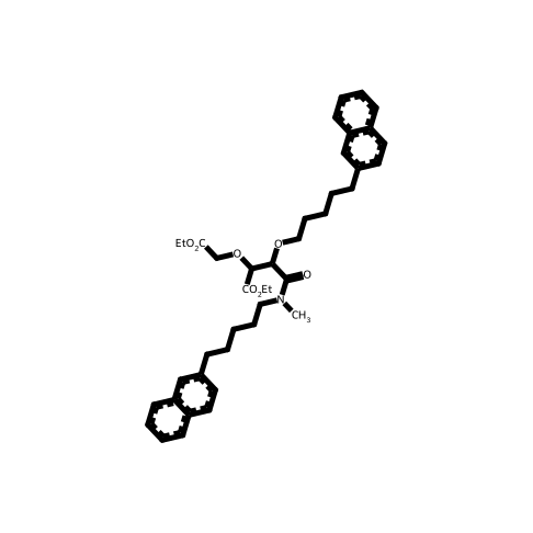 CCOC(=O)COC(C(=O)OCC)C(OCCCCCc1ccc2ccccc2c1)C(=O)N(C)CCCCCc1ccc2ccccc2c1